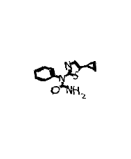 NC(=O)N(c1ccccc1)c1ncc(C2CC2)s1